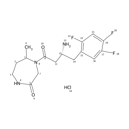 CC1CCNC(=O)CN1C(=O)C[C@H](N)Cc1cc(F)c(F)cc1F.Cl